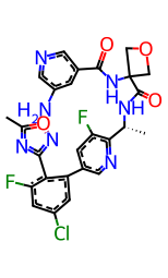 Cc1nc(-c2c(F)cc(Cl)cc2-c2cnc([C@@H](C)NC(=O)C3(NC(=O)c4cncc(N)c4)COC3)c(F)c2)no1